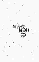 CCCCN(CCCN(C)C)C(=O)CN1C[C@H](c2ccc3c(c2)OCO3)[C@@H](C(=O)O)[C@@H]1CCc1ccccn1